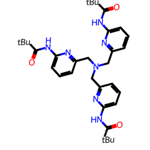 CC(C)(C)C(=O)Nc1cccc(CN(Cc2cccc(NC(=O)C(C)(C)C)n2)Cc2cccc(NC(=O)C(C)(C)C)n2)n1